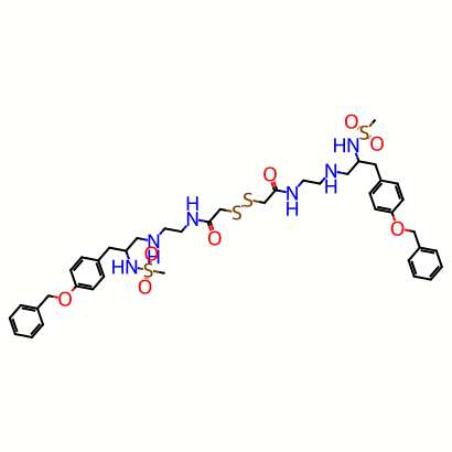 CS(=O)(=O)NC(CNCCNC(=O)CSSCC(=O)NCCNCC(Cc1ccc(OCc2ccccc2)cc1)NS(C)(=O)=O)Cc1ccc(OCc2ccccc2)cc1